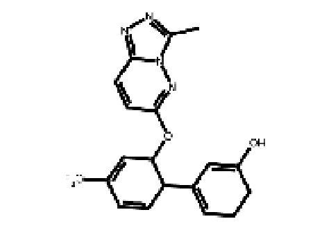 Cc1nnc2ccc(OC3C=C(C(F)(F)F)C=CC3C3=CCCC(O)=C3)nn12